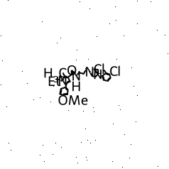 CCn1c(-c2ccc(OC)cc2)cc(C(=O)NCCCN2CCN(c3cccc(Cl)c3Cl)CC2)c1C